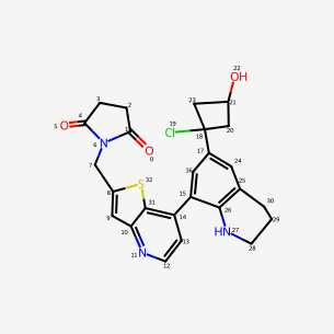 O=C1CCC(=O)N1Cc1cc2nccc(-c3cc(C4(Cl)CC(O)C4)cc4c3NCCC4)c2s1